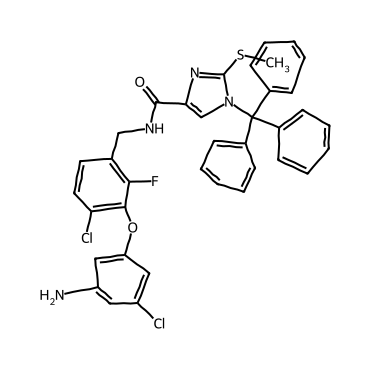 CSc1nc(C(=O)NCc2ccc(Cl)c(Oc3cc(N)cc(Cl)c3)c2F)cn1C(c1ccccc1)(c1ccccc1)c1ccccc1